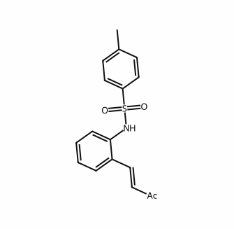 CC(=O)C=Cc1ccccc1NS(=O)(=O)c1ccc(C)cc1